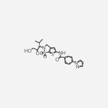 CC(C)[C@H](C(=O)CO)N1Cc2cc(NC(=O)c3ccc(-n4cccn4)cc3)sc2S1(=O)=O